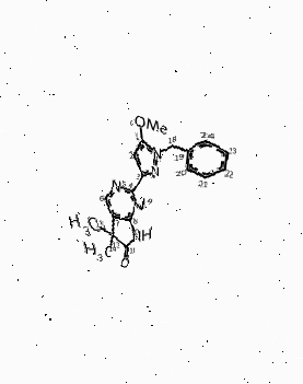 COc1cc(-c2ncc3c(n2)NC(=O)C3(C)C)nn1Cc1ccccc1